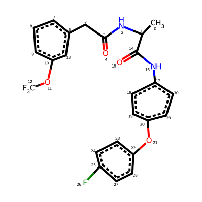 CC(NC(=O)Cc1cccc(OC(F)(F)F)c1)C(=O)Nc1ccc(Oc2ccc(F)cc2)cc1